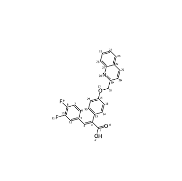 O=C(O)/C(=C/c1ccc(F)c(F)c1)c1ccc(OCc2ccc3ccccc3n2)cc1